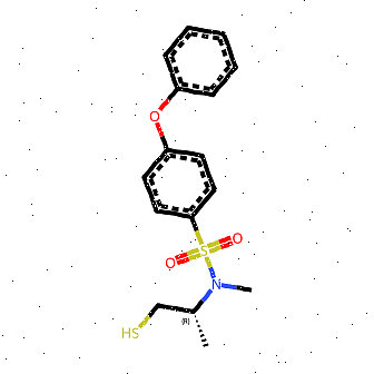 C[C@H](CS)N(C)S(=O)(=O)c1ccc(Oc2ccccc2)cc1